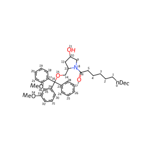 CCCCCCCCCCCCCCCC(=O)N1CC(O)CC1COC(c1ccccc1)(c1ccccc1)c1cccc(OC)c1OC